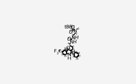 CN(CCNC(=O)NC[C@H]1CC[C@@H]2[C@H](O1)c1cc(C(F)(F)F)ccc1N[C@H]2c1ccccc1)C(=O)OC(C)(C)C